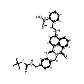 CC(C)(C)OC(=O)NCc1ccc(CN2C(=O)c3cccc4c(NCc5ccccc5B(O)O)ccc(c34)C2=O)cc1